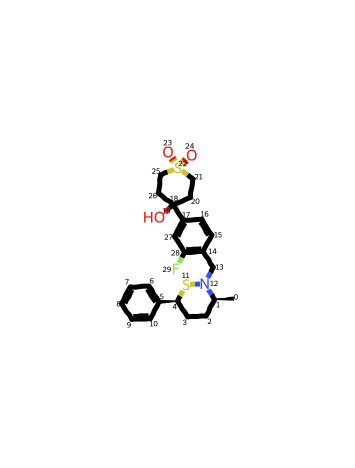 C[C@H]1CC[C@@H](c2ccccc2)SN1Cc1ccc(C2(O)CCS(=O)(=O)CC2)cc1F